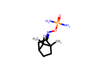 CC12CCC(CC1=NOP(N)(N)=O)C2(C)C